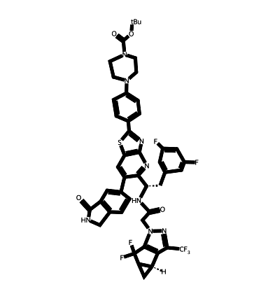 CC(C)(C)OC(=O)N1CCN(c2ccc(-c3nc4nc([C@H](Cc5cc(F)cc(F)c5)NC(=O)Cn5nc(C(F)(F)F)c6c5C(F)(F)C5C[C@H]65)c(-c5ccc6c(c5)C(=O)NC6)cc4s3)cc2)CC1